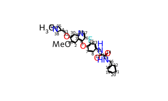 COc1cc2c(Oc3ccc(NC(=O)C(=O)NCc4ccccc4)cc3F)ccnc2cc1OCC1CN(C)C1